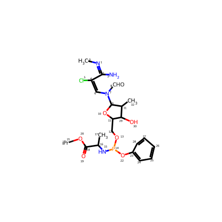 C/N=C(N)\C(Cl)=C/N(C=O)C1OC(COP(NC(C)C(=O)OC(C)C)Oc2ccccc2)C(O)C1C